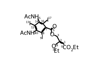 CCOC(=O)/C=C(/COC(=O)c1c(I)c(NC(C)=O)c(I)c(NC(C)=O)c1I)OCC